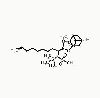 C=CCCCCCC[C@@H](B1O[C@@H]2C[C@@H]3C[C@@H](C3(C)C)[C@]2(C)O1)N([Si](C)(C)C)S(C)(=O)=O